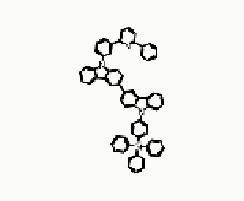 c1ccc(-c2cccc(-c3cccc(-n4c5ccccc5c5cc(-c6ccc7c(c6)c6ccccc6n7-c6ccc([Si](c7ccccc7)(c7ccccc7)c7ccccc7)cc6)ccc54)c3)n2)cc1